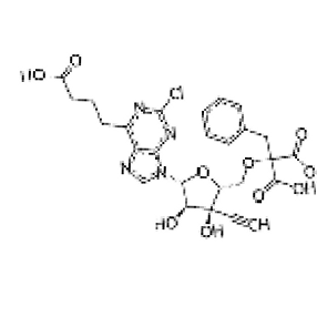 C#C[C@@]1(O)[C@@H](COC(Cc2ccccc2)(C(=O)O)C(=O)O)O[C@@H](n2cnc3c(CCCC(=O)O)nc(Cl)nc32)[C@@H]1O